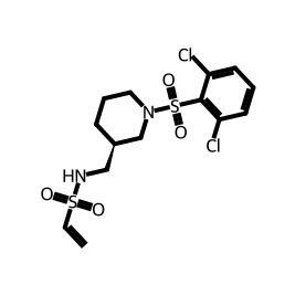 C=CS(=O)(=O)NC[C@H]1CCCN(S(=O)(=O)c2c(Cl)cccc2Cl)C1